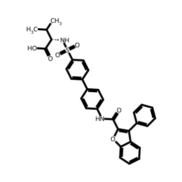 CC(C)[C@H](NS(=O)(=O)c1ccc(-c2ccc(NC(=O)c3oc4ccccc4c3-c3ccccc3)cc2)cc1)C(=O)O